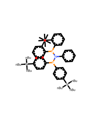 CCCC[Si](CCCC)(CCCC)c1ccc(P(c2ccc([Si](CCCC)(CCCC)CCCC)cc2)N(c2ccccc2)P(c2ccccc2[Si](C)(C)C)c2ccccc2[Si](C)(C)C)cc1